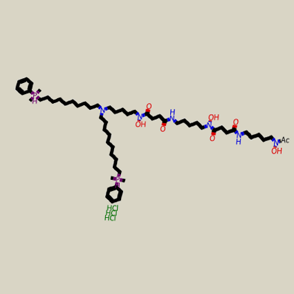 CC(=O)N(O)CCCCCNC(=O)CCC(=O)N(O)CCCCCNC(=O)CCC(=O)N(O)CCCCCN(CCCCCCCCCC[PH](C)(C)c1ccccc1)CCCCCCCCCC[PH](C)(C)c1ccccc1.Cl.Cl.Cl